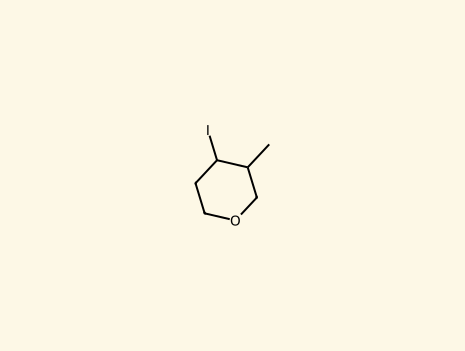 CC1COCCC1I